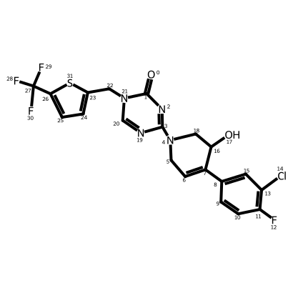 O=c1nc(N2CC=C(c3ccc(F)c(Cl)c3)C(O)C2)ncn1Cc1ccc(C(F)(F)F)s1